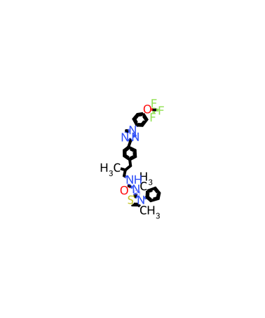 Cc1ccccc1-n1c(C)cs/c1=N\C(=O)NCC(C)Cc1ccc(-c2ncn(-c3ccc(OC(F)(F)F)cc3)n2)cc1